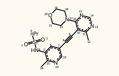 CCCS(=O)(=O)Nc1cc(C#Cc2c(C)ncnc2N2CCOCC2)cnc1C